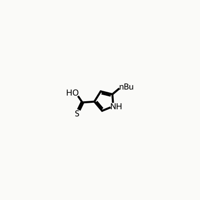 CCCCc1cc(C(O)=S)c[nH]1